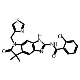 CC1(C)C(=O)N(Cc2cscn2)c2cc3[nH]c(NC(=O)c4ccccc4Cl)nc3cc21